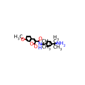 COc1ccc2cc(C(=O)NC(C)(C)c3ccc(C(C)(C)N)cc3)c(=O)oc2c1